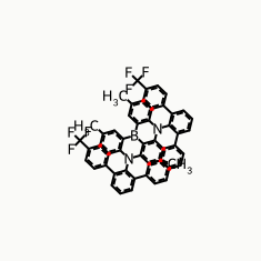 Cc1ccc2c(c1)B1c3cc(C)ccc3N(c3c(-c4ccccc4)cccc3-c3ccc(C(F)(F)F)cc3)c3cc(C)cc(c31)N2c1c(-c2ccccc2)cccc1-c1ccc(C(F)(F)F)cc1